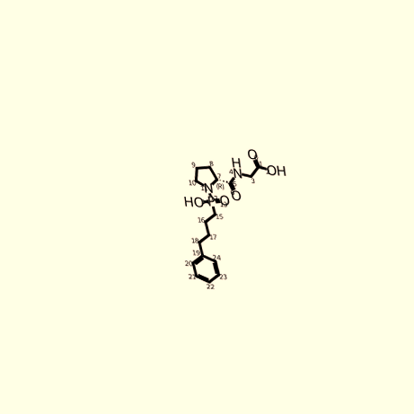 O=C(O)CNC(=O)[C@H]1CCCN1P(=O)(O)CCCCc1ccccc1